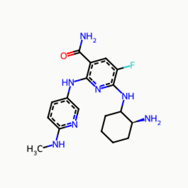 CNc1ccc(Nc2nc(NC3CCCC[C@@H]3N)c(F)cc2C(N)=O)cn1